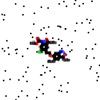 COC(=O)c1cc(OC)c(OCCc2cc(C(=O)OC)c(NC(=O)OC(C)(C)C)cc2Cl)cc1N